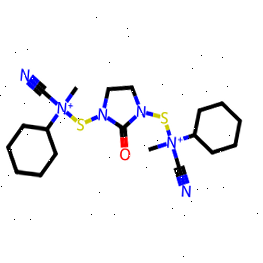 C[N+](C#N)(SN1CCN(S[N+](C)(C#N)C2CCCCC2)C1=O)C1CCCCC1